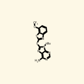 CCCCn1c(Sc2nc3cccc(OC(F)(F)F)c3s2)nc2c(N)ncnc21